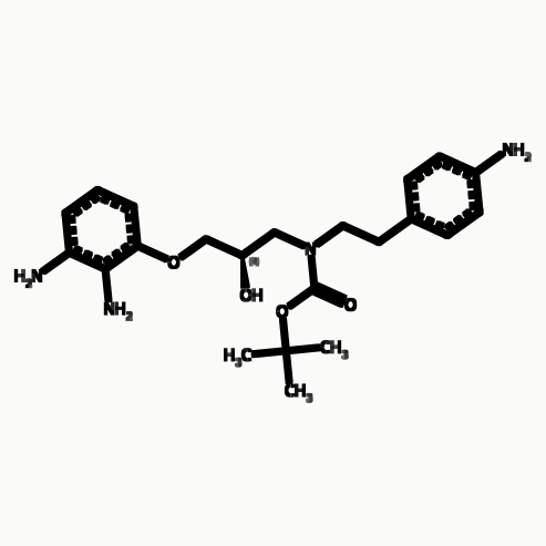 CC(C)(C)OC(=O)N(CCc1ccc(N)cc1)C[C@@H](O)COc1cccc(N)c1N